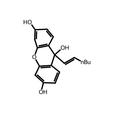 CCCC/C=C/C1(O)c2ccc(O)cc2Oc2cc(O)ccc21